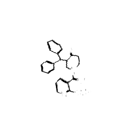 CSc1ncccc1C(=O)N1CCC(=O)C(C(c2ccccc2)c2ccccc2)C1